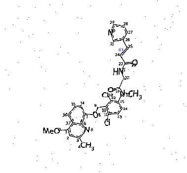 COc1cc(C)nc2c(OCc3c(Cl)ccc(N(C)C(=O)CNC(=O)/C=C/c4cccnc4)c3Cl)cccc12